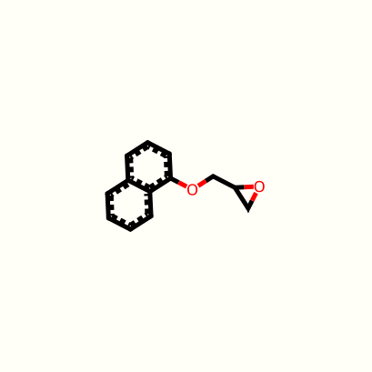 [CH]1OC1COc1cccc2ccccc12